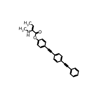 C/C=C(\NC)C(=O)Oc1ccc(C#Cc2ccc(C#Cc3ccccc3)cc2)cc1